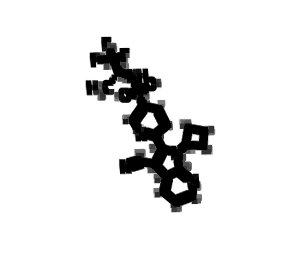 C[C@@H](NS(=O)(=O)c1ccc(-c2c(C#N)c3cccnc3n2C2CCC2)nc1)C(F)(F)F